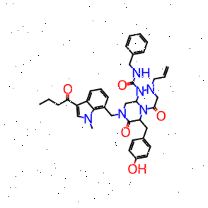 C=CCN1CC(=O)N2C(Cc3ccc(O)cc3)C(=O)N(Cc3cccc4c(C(=O)CCC)cn(C)c34)CC2N1C(=O)NCc1ccccc1